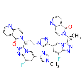 C[C@@H](c1nnc2c(F)cc(-c3cn(CC[C@H](c4nnc5c(F)cc(-c6cn(C)cn6)cn45)n4ccc5ncccc5c4=O)cn3)cn12)n1ccc2ncccc2c1=O